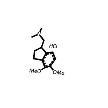 COc1ccc2c(c1OC)CCC2CN(C)C.Cl